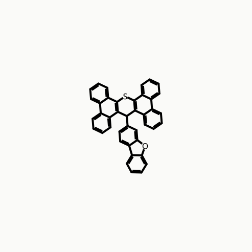 c1ccc2c(c1)oc1cc(C3c4c(c5ccccc5c5ccccc45)Sc4c3c3ccccc3c3ccccc43)ccc12